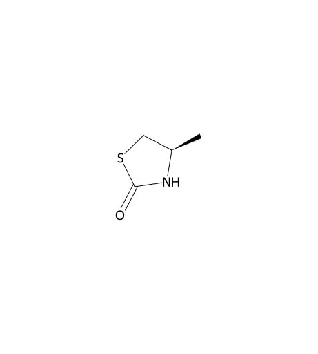 C[C@@H]1CSC(=O)N1